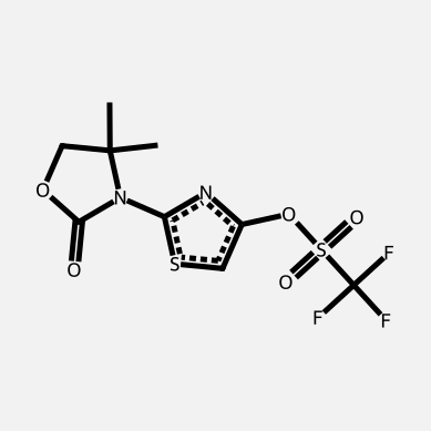 CC1(C)COC(=O)N1c1nc(OS(=O)(=O)C(F)(F)F)cs1